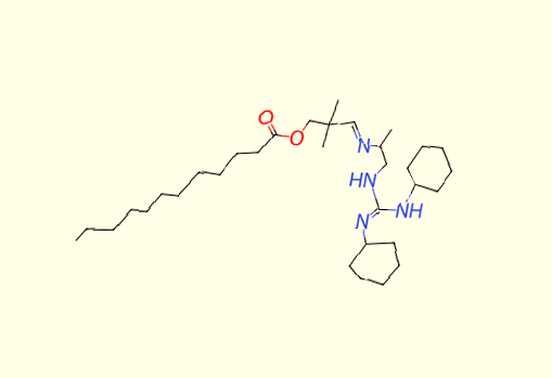 CCCCCCCCCCCC(=O)OCC(C)(C)C=NC(C)CNC(=NC1CCCCC1)NC1CCCCC1